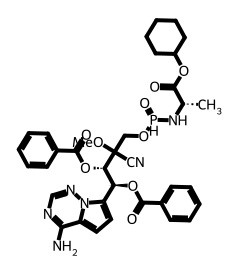 COC(C#N)(CO[PH](=O)N[C@@H](C)C(=O)OC1CCCCC1)[C@@H](OC(=O)c1ccccc1)[C@@H](OC(=O)c1ccccc1)c1ccc2c(N)ncnn12